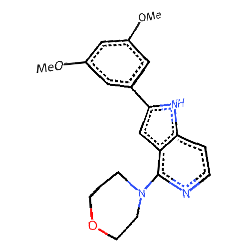 COc1cc(OC)cc(-c2cc3c(N4CCOCC4)nccc3[nH]2)c1